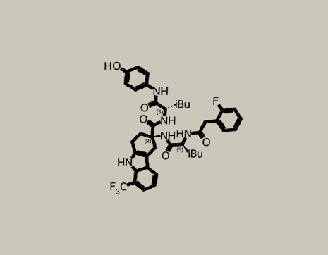 CCC(C)[C@H](NC(=O)Cc1ccccc1F)C(=O)N[C@]1(C(=O)N[C@H](C(=O)Nc2ccc(O)cc2)C(C)CC)CCC2=C(C1)C1C=CC=C(C(F)(F)F)C1N2